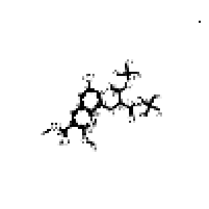 COC(=O)c1cc2cc(Cl)cc(CC(C(=O)OC(C)(C)C)C(=O)OC(C)(C)C)c2nc1OC